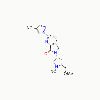 COC[C@@H]1C[C@@H](N2Cc3ccc(-n4cc(C#N)cn4)nc3C2=O)CN1C#N